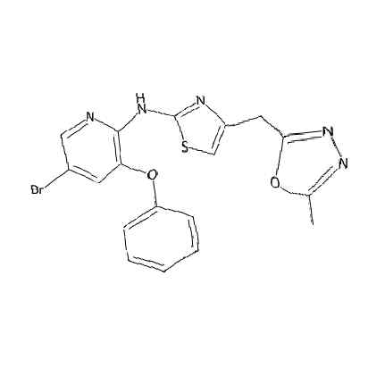 Cc1nnc(Cc2csc(Nc3ncc(Br)cc3Oc3ccccc3)n2)o1